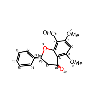 COc1cc(OC)c2c(c1C=O)O[C@H](c1ccccc1)CC2=O